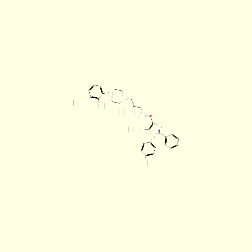 Cc1cccc(N2CCN(CC(O)CNC(=O)c3nc(-c4ccccc4)n(-c4ccc(Cl)cc4)c3C)CC2)c1C